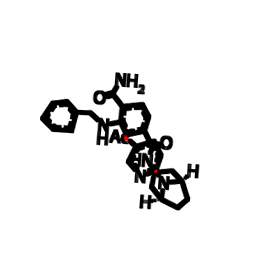 CC(=O)c1ccc(N2[C@@H]3CC[C@H]2C[C@@H](NC(=O)c2ccc(C(N)=O)c(NCc4ccccc4)c2)C3)nc1